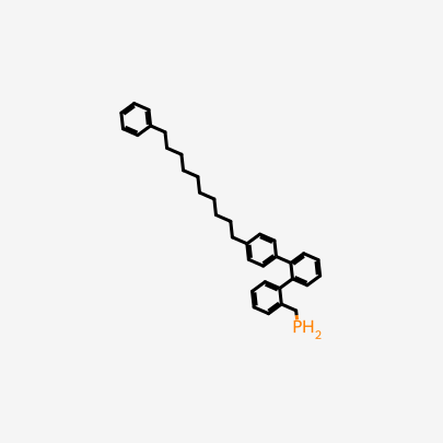 PCc1ccccc1-c1ccccc1-c1ccc(CCCCCCCCCCc2ccccc2)cc1